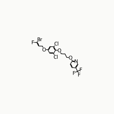 FC(Br)=CCOc1cc(Cl)c(OCCCOc2ccc(C(F)(F)F)cn2)c(Cl)c1